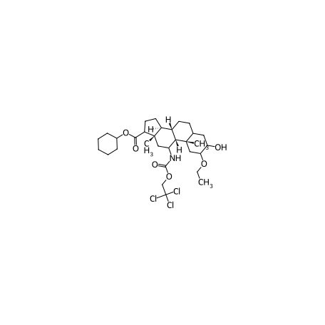 CCOC1C[C@@]2(C)C(CC[C@@H]3[C@H]2C(NC(=O)OCC(Cl)(Cl)Cl)C[C@]2(C)C(C(=O)OC4CCCCC4)CC[C@@H]32)CC1O